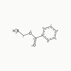 BCOC(=O)c1ccccc1